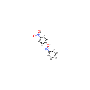 O=[N+]([O-])c1ccc(ONc2ccccc2)cc1